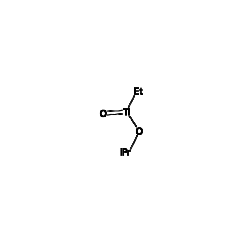 C[CH2][Ti](=[O])[O]C(C)C